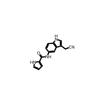 N#CCc1c[nH]c2ccc(NC(=O)c3ccc[nH]3)cc12